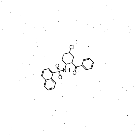 O=C(c1ccccc1)C1CC(Cl)CCC1NS(=O)(=O)c1cccc2ccccc12